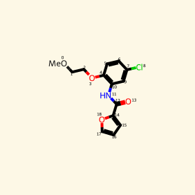 COCCOc1ccc(Cl)cc1NC(=O)c1ccco1